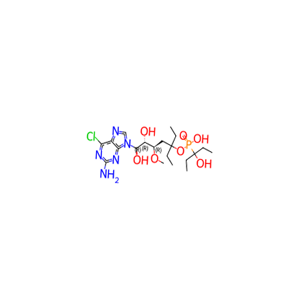 CCC(CC)(C[C@@H](OC)[C@@H](O)[C@@H](O)n1cnc2c(Cl)nc(N)nc21)OP(=O)(O)C(O)(CC)CC